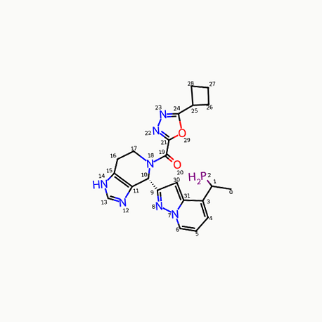 CC(P)c1cccn2nc([C@@H]3c4nc[nH]c4CCN3C(=O)c3nnc(C4CCC4)o3)cc12